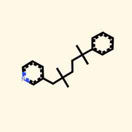 CC(C)(CCC(C)(C)c1ccccc1)Cc1cccnc1